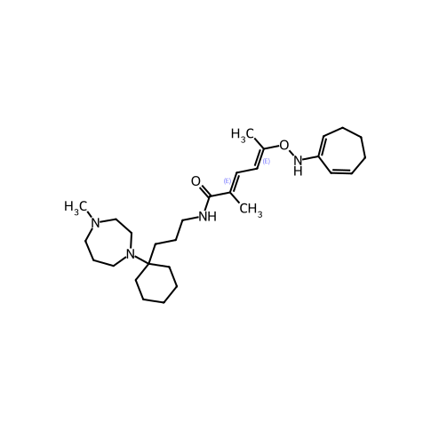 C/C(=C\C=C(/C)C(=O)NCCCC1(N2CCCN(C)CC2)CCCCC1)ONC1=CCCCC=C1